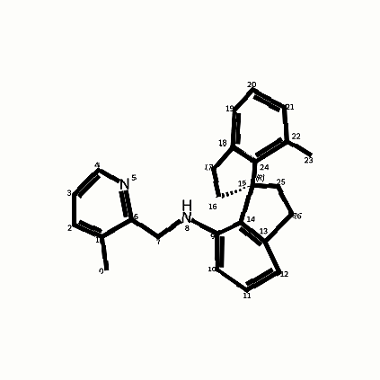 Cc1cccnc1CNc1cccc2c1[C@]1(CCc3cccc(C)c31)CC2